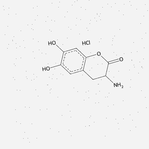 Cl.NC1Cc2cc(O)c(O)cc2OC1=O